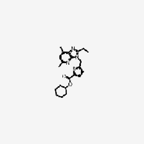 CCc1nc2c(C)cc(C)nc2n1Cc1ccc(C(=O)OC2CCCCC2)s1